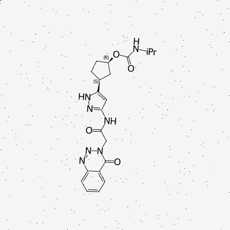 CC(C)NC(=O)O[C@@H]1CC[C@H](c2cc(NC(=O)Cn3nnc4ccccc4c3=O)n[nH]2)C1